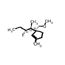 CC[C@@H](F)[C@@H](C)[C@]1(COC)C=C(C)CC1